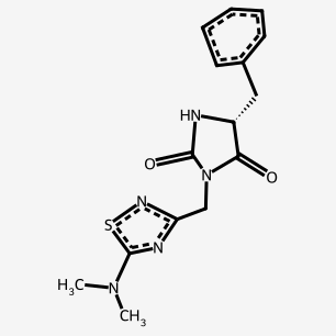 CN(C)c1nc(CN2C(=O)N[C@H](Cc3ccccc3)C2=O)ns1